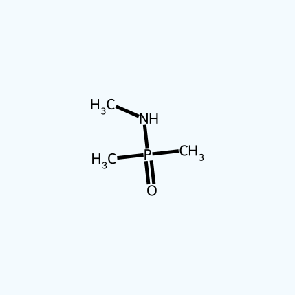 CNP(C)(C)=O